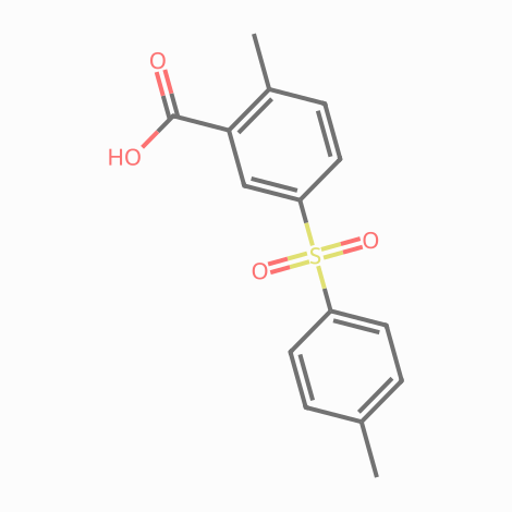 Cc1ccc(S(=O)(=O)c2ccc(C)c(C(=O)O)c2)cc1